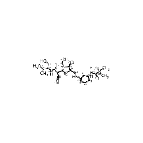 CCn1c(=C(C#N)C(=O)N[C@H](CO)C(C)C)sc(=CNc2cccc(NC(=O)C(C)(C)C)c2)c1=O